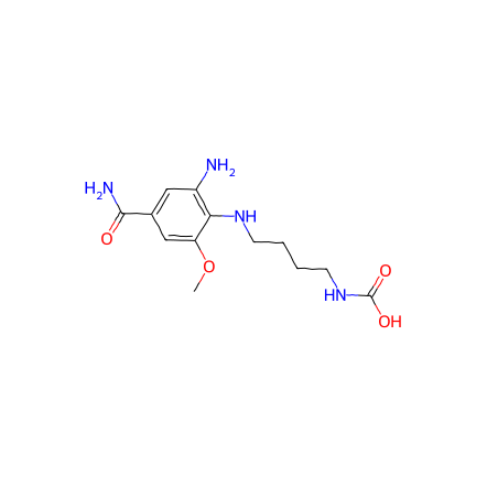 COc1cc(C(N)=O)cc(N)c1NCCCCNC(=O)O